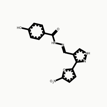 O=C(NN=Cc1c[nH]nc1-c1ccc([N+](=O)[O-])o1)c1ccc(O)cc1